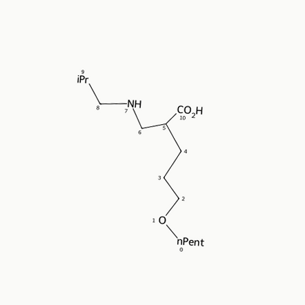 CCCCCOCCCC(CNCC(C)C)C(=O)O